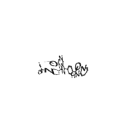 CC#CC(=O)N1CCC(c2nc(-c3ccc(C(=O)Nc4ccccn4)cc3)c3cncc(OCC)n23)C1